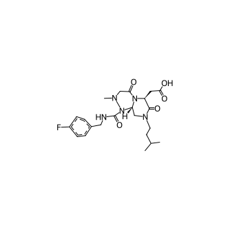 CC(C)CCN1C[C@H]2N(C(=O)CN(C)N2C(=O)NCc2ccc(F)cc2)[C@@H](CC(=O)O)C1=O